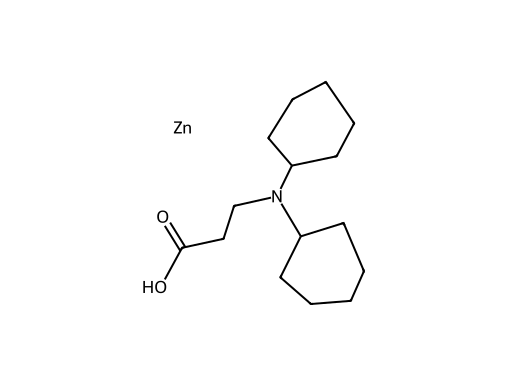 O=C(O)CCN(C1CCCCC1)C1CCCCC1.[Zn]